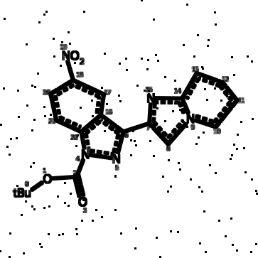 CC(C)(C)OC(=O)n1nc(-c2cn3ccccc3n2)c2cc([N+](=O)[O-])ccc21